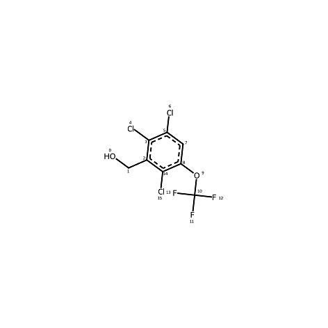 OCc1c(Cl)c(Cl)cc(OC(F)(F)F)c1Cl